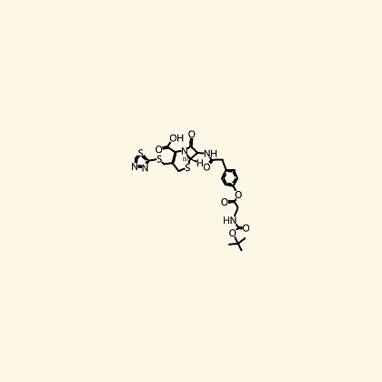 CC(C)(C)OC(=O)NCC(=O)Oc1ccc(CC(=O)NC2C(=O)N3C(C(=O)O)=C(CSc4nncs4)CS[C@@H]23)cc1